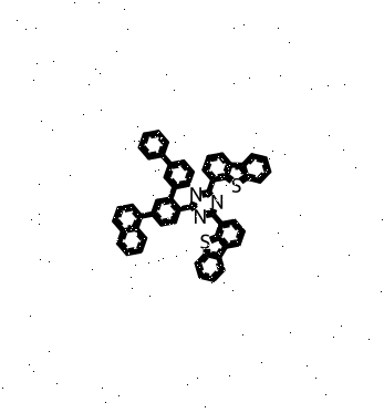 c1ccc(-c2cccc(-c3cc(-c4cccc5ccccc45)ccc3-c3nc(-c4cccc5c4sc4ccccc45)nc(-c4cccc5c4sc4ccccc45)n3)c2)cc1